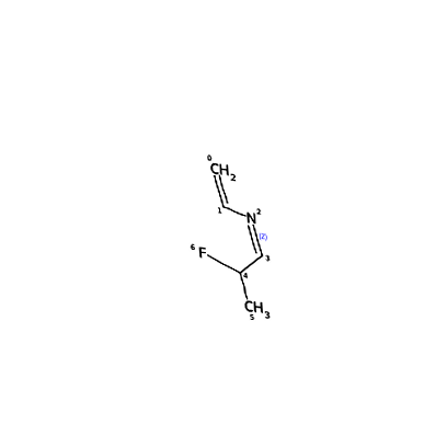 C=C/N=C\C(C)F